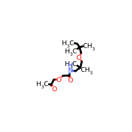 CCC(C)(C)COCC(C)(C)CNC(=O)COCC(C)=O